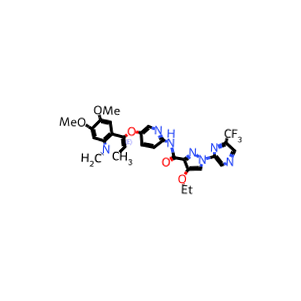 C=Nc1cc(OC)c(OC)cc1/C(=C\C)Oc1ccc(NC(=O)c2nn(-c3cncc(C(F)(F)F)n3)cc2OCC)nc1